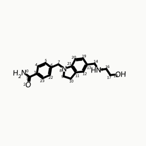 NC(=O)c1ccc(CN2CCc3cc(CNCCO)ccc32)cc1